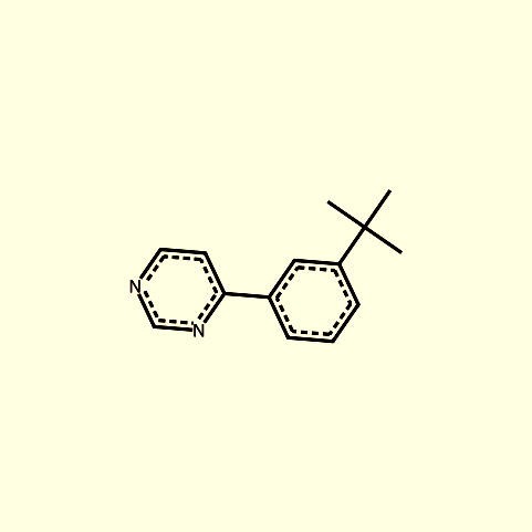 CC(C)(C)c1cccc(-c2ccncn2)c1